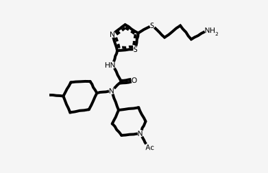 CC(=O)N1CCC(N(C(=O)Nc2ncc(SCCCN)s2)C2CCC(C)CC2)CC1